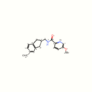 CCCCOc1ccc(C(=O)NCC2Cc3ccc(C=O)cc3C2)nc1